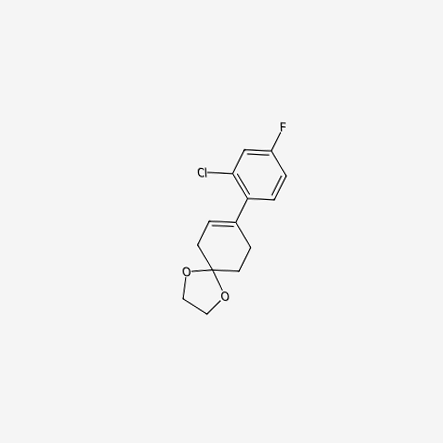 Fc1ccc(C2=CCC3(CC2)OCCO3)c(Cl)c1